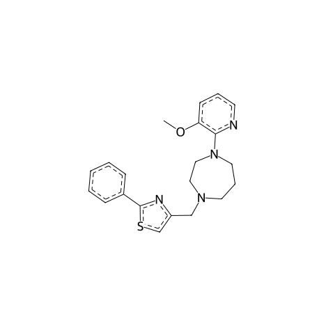 COc1cccnc1N1CCCN(Cc2csc(-c3ccccc3)n2)CC1